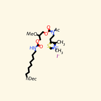 CCCCCCCCCCCCCCCCCCNC(=O)OCC(COC(=O)N(CCc1sc[n+](C)c1C)C(C)=O)OC.[I-]